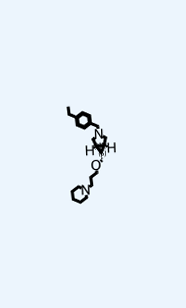 CCc1ccc(CN2C[C@@H]3[C@H](COCCCN4CCCCC4)[C@@H]3C2)cc1